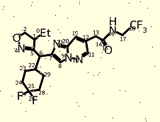 CCC1CON=C1C(c1cn2ncc(CC(=O)NCC(F)(F)F)cc2n1)C1CCC(F)(F)CC1